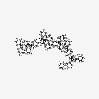 c1ccc(-c2cccc(-c3nc(-c4ccccc4)nc(-c4ccc(-n5c6ccccc6c6c5ccc5c7ccc(-c8ccccc8-c8ccccc8-c8cc(-c9ccc(-n%10c%11ccccc%11c%11c%10ccc%10c%12ccccc%12n(-c%12ccccc%12)c%10%11)cc9)nc(-c9ccccc9)n8)cc7n(-c7ccccc7)c56)cc4)n3)c2)cc1